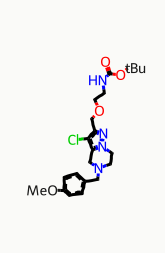 COc1ccc(CN2CCn3nc(COCCNC(=O)OC(C)(C)C)c(Cl)c3C2)cc1